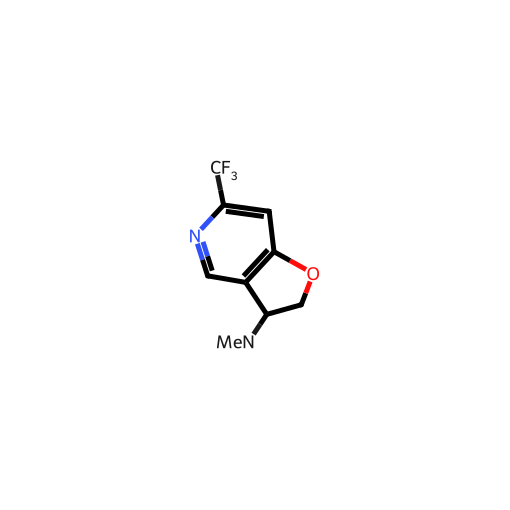 CNC1COc2cc(C(F)(F)F)ncc21